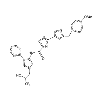 COc1ccc(Cn2cc(-c3nc(C(=O)Nc4cn(CC(O)C(F)(F)F)nc4-c4ccccn4)cs3)cn2)cc1